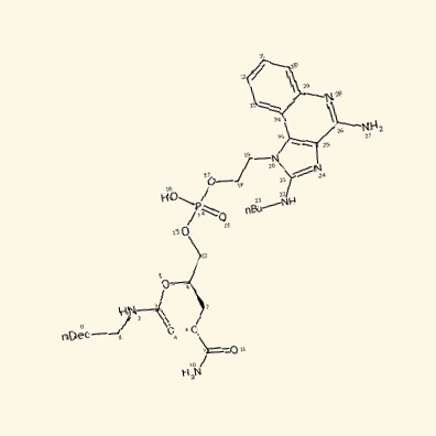 CCCCCCCCCCCNC(=O)O[C@H](COC(N)=O)COP(=O)(O)OCCn1c(NCCCC)nc2c(N)nc3ccccc3c21